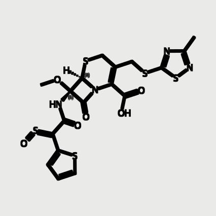 CO[C@@]1(NC(=O)C(=S=O)c2cccs2)C(=O)N2C(C(=O)O)=C(CSc3nc(C)ns3)CS[C@@H]21